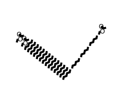 CCCCCC.CCCCCC.CCCCCC.CCCCCC.CCCCCC.CCCCCC.CCCCCC.CCCCCC.CCCCCC.CCCCCC.CCCCCC.CCCCCC.CCCCCC.CCCCCC.CCCCCC.CCCCCC.CCCCCC.CCOC(C)=O.CCOC(C)=O.CCOC(C)=O